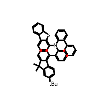 CC(C)(C)c1ccc2c(c1)C(C)(C)c1cccc(-c3ccccc3N(c3ccccc3-c3ccccc3)c3cccc4c3sc3ccccc34)c1-2